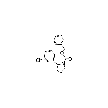 O=C(OCc1ccccc1)N1CCCC1c1cccc(Cl)c1